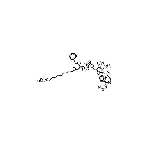 CCCCCCCCCCCCCCCCCCCOC[C@H](COP(=O)(O)OC[C@H]1O[C@@](C#N)(c2ccc3c(N)ncnn23)[C@H](O)[C@@H]1O)OCc1ccccc1